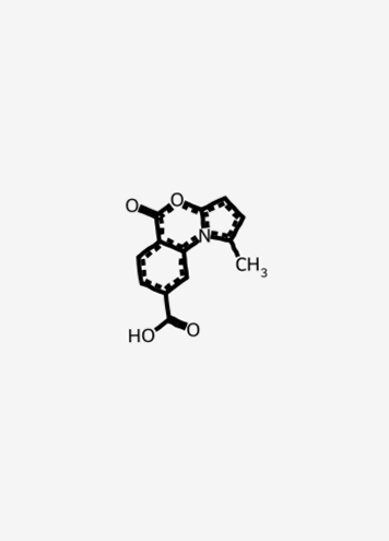 Cc1ccc2oc(=O)c3ccc(C(=O)O)cc3n12